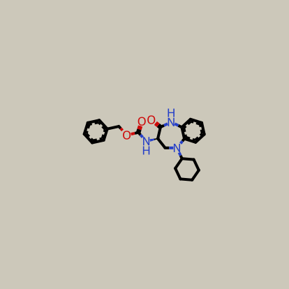 O=C(N[C@@H]1CN(C2CCCCC2)c2ccccc2NC1=O)OCc1ccccc1